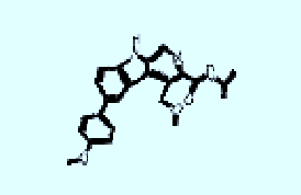 COCc1c(C(=O)OC(C)C)ncc2[nH]c3ccc(-c4ccc(OC)cc4)cc3c12